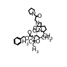 CC1CCC2(CN(CC(=O)N3CCCC3)C2=O)N1C(=O)[C@@H]1[C@@H](C)OC(C)(C)N1C(=O)OCc1ccccc1